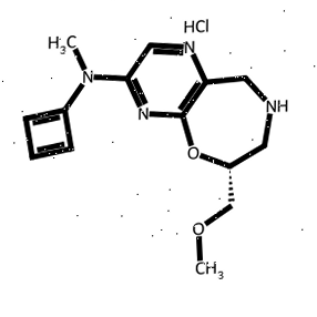 COC[C@H]1CNCc2ncc(N(C)C3=CC=C3)nc2O1.Cl